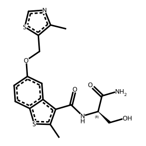 Cc1ncsc1COc1ccc2sc(C)c(C(=O)N[C@H](CO)C(N)=O)c2c1